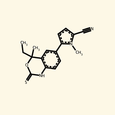 CCC1(C)OC(=S)Nc2ccc(-c3ccc(C#N)n3C)cc21